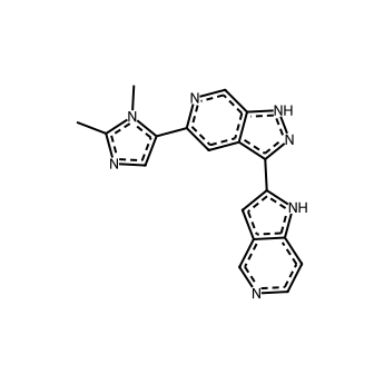 Cc1ncc(-c2cc3c(-c4cc5cnccc5[nH]4)n[nH]c3cn2)n1C